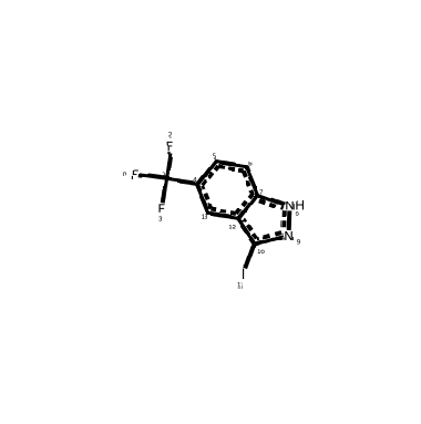 FC(F)(F)c1ccc2[nH]nc(I)c2c1